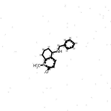 Cn1c2c(ccc1=O)C(NCc1ccccc1)CCC2